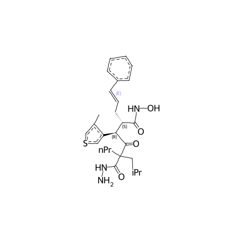 CCCC(CC(C)C)(C(=O)NN)C(=O)[C@@H](c1cscc1C)[C@H](C/C=C/c1ccccc1)C(=O)NO